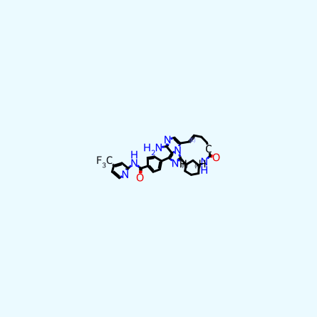 Nc1ncc2n3c(nc(-c4ccc(C(=O)Nc5cc(C(F)(F)F)ccn5)cc4)c13)[C@@H]1CCC[C@H](C1)NC(=O)CCC/C=C/2